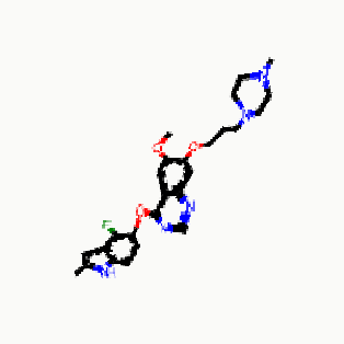 COc1cc2c(Oc3ccc4[nH]c(C)cc4c3F)ncnc2cc1OCCCN1CCN(C)CC1